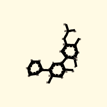 Cc1c[n+](C)c(-c2cc(-c3ccccc3)c(C)cc2C)cc1CC(C)C